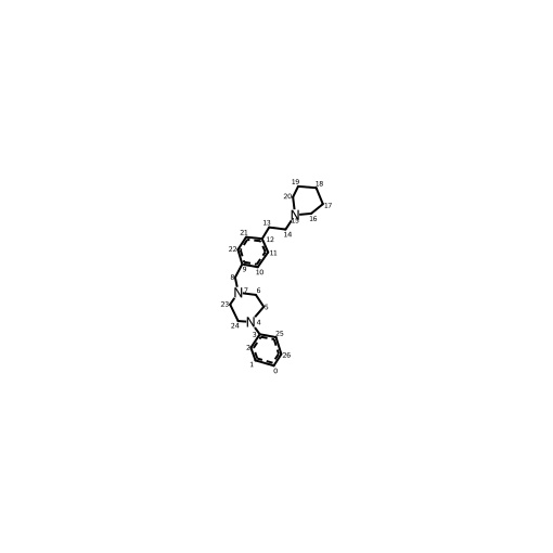 c1ccc(N2CCN(Cc3ccc(CCN4CCCCC4)cc3)CC2)cc1